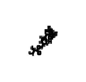 CCC(I)C(=O)OCC1CC2CC1CC2CC(O)(C(F)(F)F)C(F)(F)F